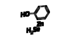 Oc1ccccc1.[SeH2].[Zn]